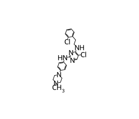 CN1CCN(c2ccc(Nc3ncc(Cl)c(NCCc4ccccc4Cl)n3)cc2)CC1